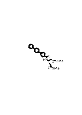 CNC(=O)CC[C@@H](COCOC)NC(=O)c1ccc(-c2ccc(-c3ccccc3)cc2)cc1